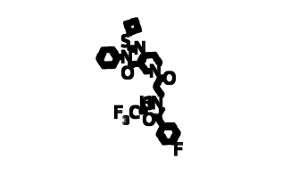 O=C(CCNC[C@H](OC(=O)C(F)(F)F)c1ccc(F)cc1)N1CCc2nc(SC3CCC3)n(-c3ccccc3)c(=O)c2C1